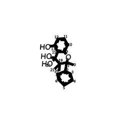 CC1(c2ccccc2)Oc2cccc(O)c2C(O)(O)C1(C)C